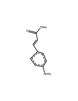 COC(=O)C=Cc1ccc(NC(C)=O)cc1